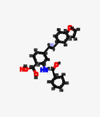 O=C(Nc1cc(/C=C/c2ccc3occc3c2)ccc1C(=O)O)c1ccccc1